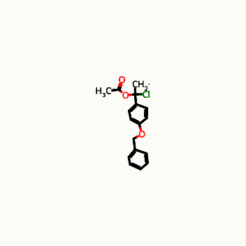 [CH2]C(Cl)(OC(C)=O)c1ccc(OCc2ccccc2)cc1